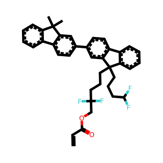 C=CC(=O)OCC(F)(F)CCCC1(CCCC(F)F)c2ccccc2-c2ccc(-c3ccc4c(c3)C(C)(C)c3ccccc3-4)cc21